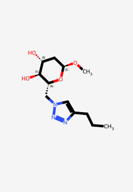 CCCc1cn(C[C@H]2O[C@H](OC)C[C@@H](O)[C@@H]2O)nn1